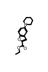 CCOC(=O)c1cc2cc(N3CCCCC3)ccc2o1